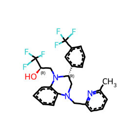 Cc1cccc(CN2C[C@@H](c3cccc(C(F)(F)F)c3)N(C[C@@H](O)C(F)(F)F)c3ccccc32)n1